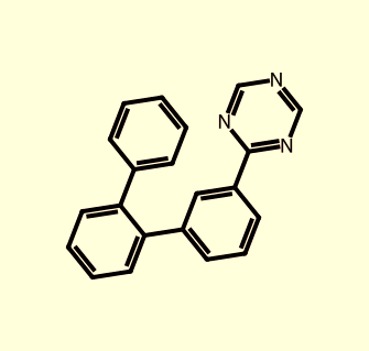 c1ccc(-c2ccccc2-c2cccc(-c3ncncn3)c2)cc1